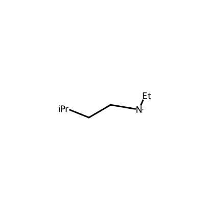 CC[N]CCC(C)C